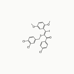 COc1ccc(OC)c(C(I)=C(SCc2ccc(Cl)c(Cl)c2)C(=O)c2ccc(Cl)cc2)c1